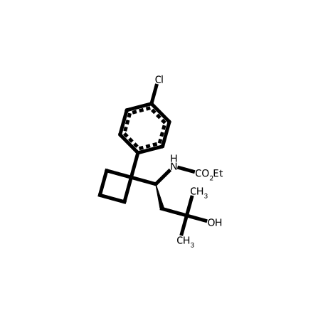 CCOC(=O)N[C@@H](CC(C)(C)O)C1(c2ccc(Cl)cc2)CCC1